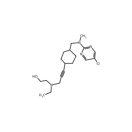 CCN(CC#CC1CCC(CN(C)c2ncc(Cl)cn2)CC1)CCO